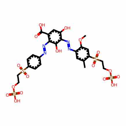 COc1cc(S(=O)(=O)CCOS(=O)(=O)O)c(C)cc1N=Nc1c(O)cc(C(=O)O)c(N=Nc2ccc(S(=O)(=O)CCOS(=O)(=O)O)cc2)c1O